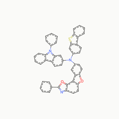 c1ccc(-c2nc3ccc4oc5ccc(N(c6ccc7c(c6)sc6ccccc67)c6ccc7c8ccccc8n(-c8ccccc8)c7c6)cc5c4c3o2)cc1